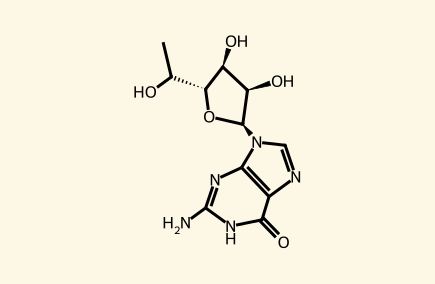 CC(O)[C@H]1O[C@H](n2cnc3c(=O)[nH]c(N)nc32)[C@H](O)[C@@H]1O